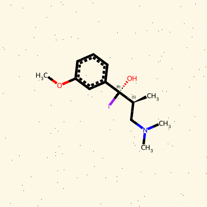 COc1cccc([C@](O)(I)[C@@H](C)CN(C)C)c1